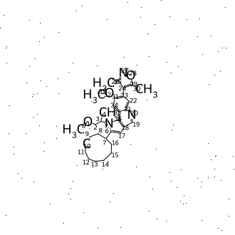 COCC(C)n1c(C2CCCCCCCCC2)cc2cnc3cc(-c4c(C)noc4C)c(OC)cc3c21